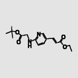 CCOC(=O)C=Cc1ccc(NCC(=O)OC(C)(C)C)nc1